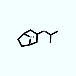 CC(C)OC1CC2CCC(C1)N2